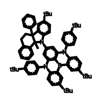 CC(C)(C)c1ccc(N2c3ccc(C(C)(C)C)cc3B3c4cc(C(C)(C)C)ccc4N(c4ccc(C(C)(C)C)cc4)c4cc(N5c6ccc(C(C)(C)C)cc6C6(c7ccccc7)CCc7ccccc7C56C)cc2c43)cc1